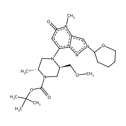 COC[C@H]1CN(C(=O)OC(C)(C)C)[C@H](C)CN1c1cc(=O)n(C)c2cn(C3CCCCO3)nc12